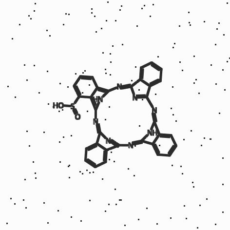 O=S(O)c1cccc2c3nc4nc(nc5[nH]c(nc6nc(nc([nH]3)c12)-c1ccccc1-6)c1ccccc51)-c1ccccc1-4